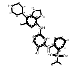 Cc1cc(Nc2ncc(Cl)c(Nc3ccccc3S(=O)(=O)C(C)C)n2)c2c(c1C1CCNCC1)OCO2